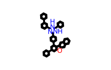 c1ccc(-c2cccc(C3=NC(c4ccc(-c5cc(-c6ccccc6)cc6oc7cc8ccccc8cc7c56)cc4)NC(c4ccccc4)N3)c2)cc1